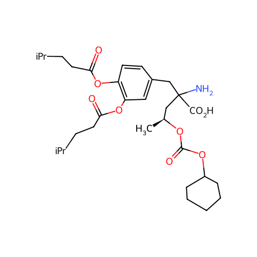 CC(C)CCC(=O)Oc1ccc(CC(N)(C[C@H](C)OC(=O)OC2CCCCC2)C(=O)O)cc1OC(=O)CCC(C)C